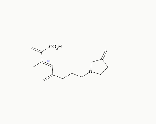 C=C(/C=C(\C)C(=C)C(=O)O)CCCN1CCC(=C)C1